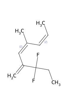 C=C(/C=C(C)\C=C/C)C(F)(F)CC